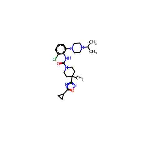 CC(C)N1CCN(c2cccc(Cl)c2NC(=O)N2CCC(C)(c3noc(C4CC4)n3)CC2)CC1